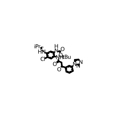 CC(C)CNc1cc(NC(=O)OC(C)(C)C)c(NC(=O)CC(=O)c2cccc(-n3ccnn3)c2)cc1Cl